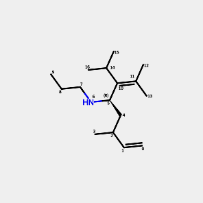 C=CC(C)C[C@@H](NCCC)C(=C(C)C)C(C)C